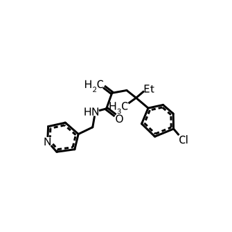 C=C(CC(C)(CC)c1ccc(Cl)cc1)C(=O)NCc1ccncc1